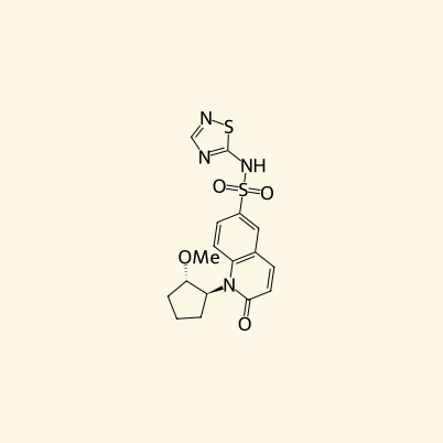 CO[C@H]1CCC[C@@H]1n1c(=O)ccc2cc(S(=O)(=O)Nc3ncns3)ccc21